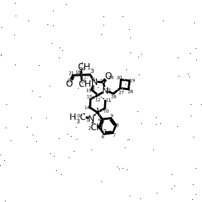 CN(C)[C@]1(c2ccccc2)CC[C@]2(CC1)CN(CC(C)(C)C=O)C(=O)N2CC1CCC1